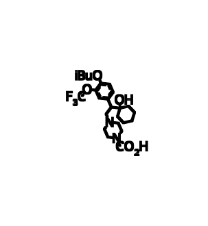 CC(C)COc1ccc(C(CN2CCN(C(=O)O)CC2)C2(O)CCCCC2)cc1OC(F)(F)F